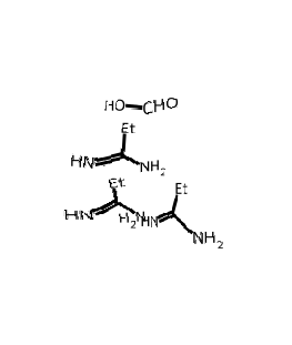 CCC(=N)N.CCC(=N)N.CCC(=N)N.O=CO